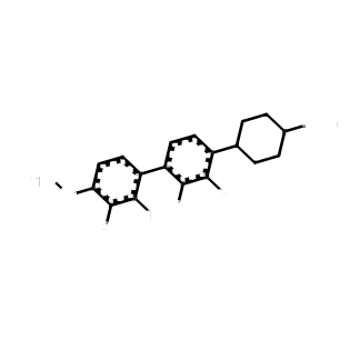 CCCCCCCCC1CCC(c2ccc(-c3ccc(OCCCCCCC)c(F)c3F)c(F)c2F)CC1